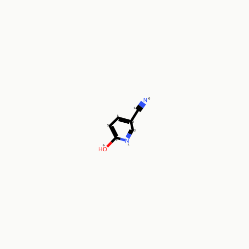 N#Cc1[c]nc(O)cc1